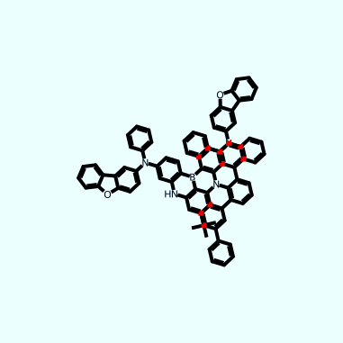 CC(C)(C)c1cc2c3c(c1)N(c1c(-c4cccc(-c5ccccc5)c4)cccc1-c1cccc(-c4ccccc4)c1)c1cc(N(c4ccccc4)c4ccc5oc6ccccc6c5c4)ccc1B3c1ccc(N(c3ccccc3)c3ccc4oc5ccccc5c4c3)cc1N2